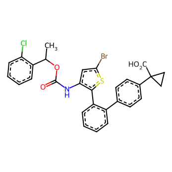 CC(OC(=O)Nc1cc(Br)sc1-c1ccccc1-c1ccc(C2(C(=O)O)CC2)cc1)c1ccccc1Cl